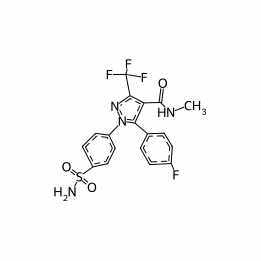 CNC(=O)c1c(C(F)(F)F)nn(-c2ccc(S(N)(=O)=O)cc2)c1-c1ccc(F)cc1